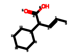 CC=CC(C(=O)O)C1CCCCC1